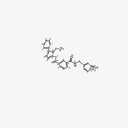 C#C/C=C(\C=C/C)CNC(=O)c1cccc(NCc2nnc(-c3ccncc3)n2CC)c1